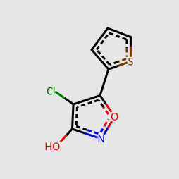 Oc1noc(-c2cccs2)c1Cl